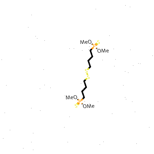 COP(=S)(CCCCSSCCCCP(=S)(OC)OC)OC